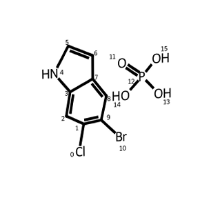 Clc1cc2[nH]ccc2cc1Br.O=P(O)(O)O